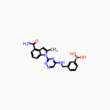 Cc1cc2c(C(N)=O)cccc2n1-c1nncc(NCc2cccc(B(O)O)c2)n1